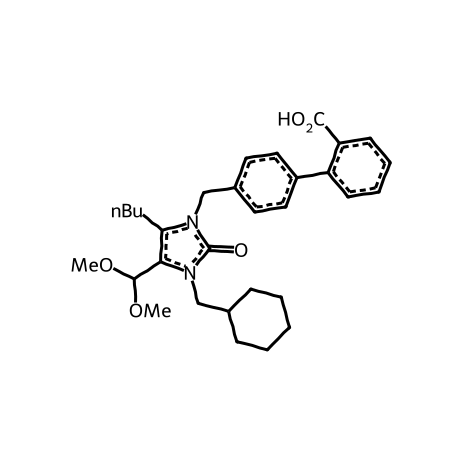 CCCCc1c(C(OC)OC)n(CC2CCCCC2)c(=O)n1Cc1ccc(-c2ccccc2C(=O)O)cc1